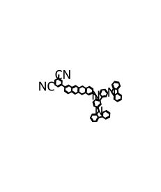 N#Cc1cc(C#N)cc(-c2ccc3cc4c(cc3c2)Cc2ccc(-n3c5ccc(N6c7ccccc7C7C=CC=CC76)cc5c5cc(-n6c7ccccc7c7ccccc76)ccc53)cc2C4)c1